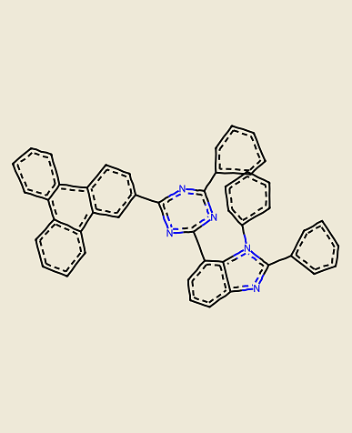 c1ccc(-c2nc(-c3ccc4c5ccccc5c5ccccc5c4c3)nc(-c3cccc4nc(-c5ccccc5)n(-c5ccccc5)c34)n2)cc1